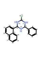 ClC1NC(c2ccccc2)NC(c2cccc3ccccc23)N1